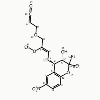 CCOC(=CN[C@@H]1c2cc([N+](=O)[O-])ccc2OC(CC)(CC)[C@H]1O)COCC=C=O